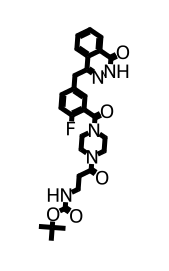 CC(C)(C)OC(=O)NCCC(=O)N1CCN(C(=O)c2cc(Cc3n[nH]c(=O)c4ccccc34)ccc2F)CC1